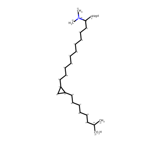 CCCCCCCC(CCCCCCCCCCC1CC1CCCCCCC(C)C(=O)O)N(C)C